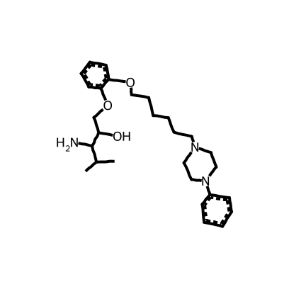 CC(C)C(N)C(O)COc1ccccc1OCCCCCCN1CCN(c2ccccc2)CC1